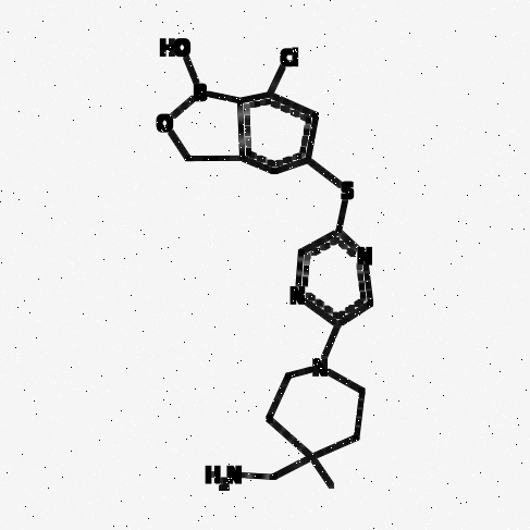 CC1(CN)CCN(c2cnc(Sc3cc(Cl)c4c(c3)COB4O)cn2)CC1